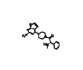 CN[C@H](C(=O)N1CCN(c2nc(N)nc3sccc23)CC1)c1ccccc1